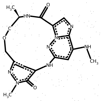 CNc1cc2nn3c(cnc13)C(=O)N[C@H](C)COCc1cc(c(=O)n(C)n1)N2